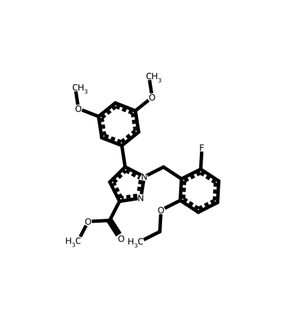 CCOc1cccc(F)c1Cn1nc(C(=O)OC)cc1-c1cc(OC)cc(OC)c1